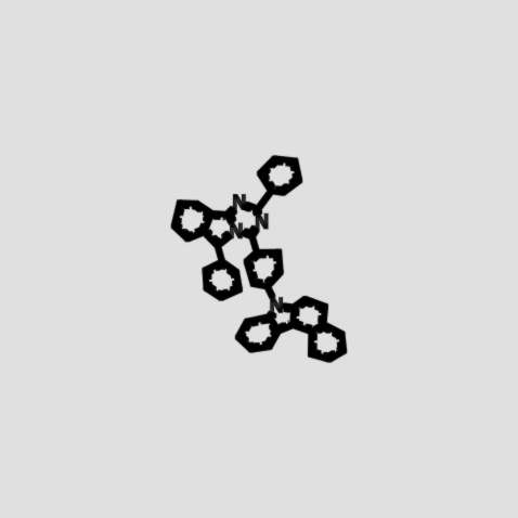 c1ccc(-c2nc(-c3ccc(-n4c5ccccc5c5c6ccccc6ccc54)cc3)n3c(-c4ccccc4)c4ccccc4c3n2)cc1